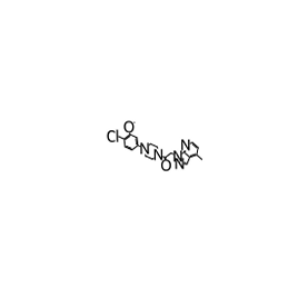 COc1cc(N2CCN(C(=O)Cn3ncc4c(C)ccnc43)CC2)ccc1Cl